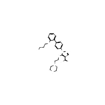 CCCCOc1ccccc1-c1ccc(-n2ncc(C(=O)O)c2OCCN2CCOCC2)cc1